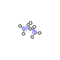 c1ccc(-c2cc(-c3ccccc3)nc(-n3c4ccccc4c4c5c6c7ccccc7ccc6n(-c6nc(-c7ccccc7)cc(-c7ccccc7)n6)c5ccc43)n2)cc1